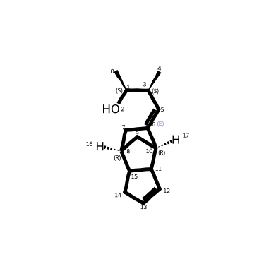 C[C@H](O)[C@@H](C)/C=C1\C[C@H]2C[C@@H]1C1C=CCC12